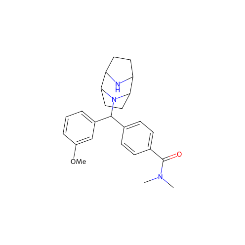 COc1cccc(C(c2ccc(C(=O)N(C)C)cc2)N2C3CCC2C2CCC3N2)c1